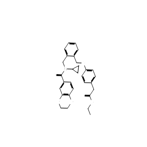 CCOC(=O)Cc1ccc(OCc2ccccc2CN(C(=O)c2ccc3c(c2)OCCO3)C2CC2)cc1